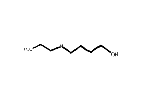 CCC[N]CCCCO